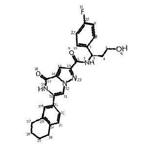 O=C(N[C@H](CCO)c1ccc(F)cc1)c1cc2c(=O)[nH]c(-c3ccc4c(c3)CCCC4)cn2n1